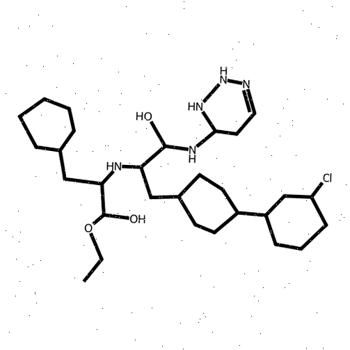 CCOC(O)C(CC1CCCCC1)NC(CC1CCC(C2CCCC(Cl)C2)CC1)C(O)NC1CC=NNN1